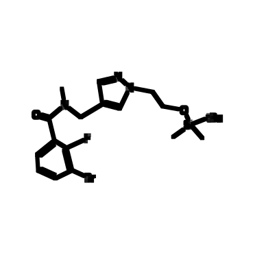 CN(Cc1cnn(CCO[Si](C)(C)C(C)(C)C)c1)C(=O)c1cccc(Br)c1F